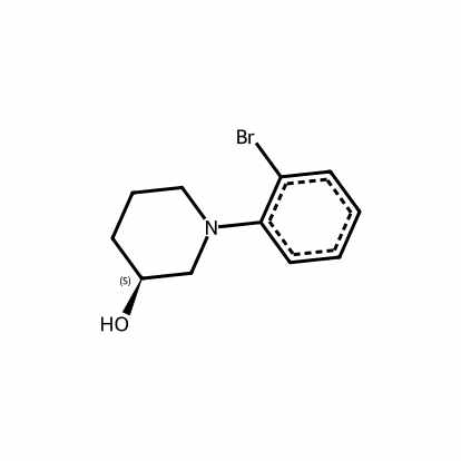 O[C@H]1CCCN(c2ccccc2Br)C1